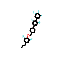 CCCc1cc(F)c(OCC2CCC(c3cc(F)c(-c4cc(F)c(F)c(F)c4)c(F)c3)CC2)c(F)c1